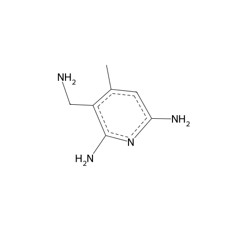 Cc1cc(N)nc(N)c1CN